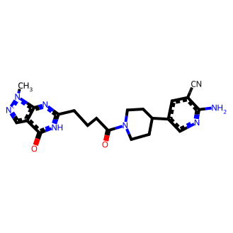 Cn1ncc2c(=O)[nH]c(CCCC(=O)N3CCC(c4cnc(N)c(C#N)c4)CC3)nc21